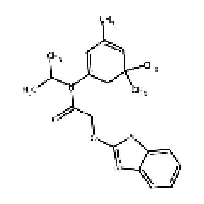 CC1=CC(C)(C)CC(N(C(=O)COc2nc3ccccc3s2)C(C)C)=C1